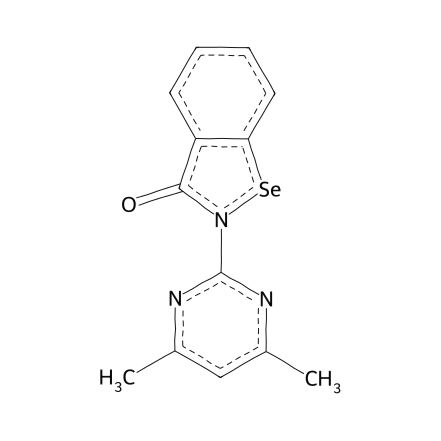 Cc1cc(C)nc(-n2[se]c3ccccc3c2=O)n1